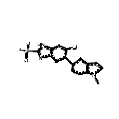 Cn1ccc2cc(-c3cc4nc(S(C)(=O)=O)[nH]c4cc3Cl)ccc21